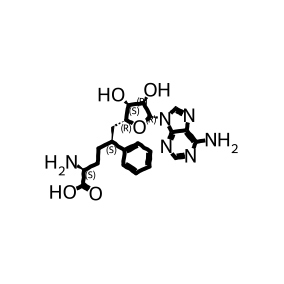 Nc1ncnc2c1ncn2[C@@H]1O[C@H](C[C@H](CC[C@H](N)C(=O)O)c2ccccc2)[C@@H](O)[C@H]1O